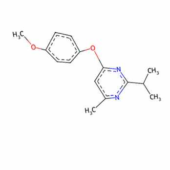 COc1ccc(Oc2cc(C)nc(C(C)C)n2)cc1